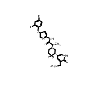 CNCc1cc([C@H]2CN([C@@H](C)C(=O)Nc3ccc(Oc4ccc(F)cc4F)cn3)CCC2(F)F)c[nH]c1=O